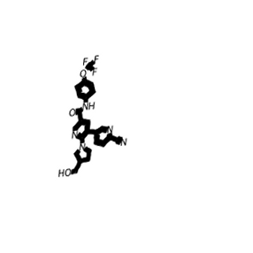 N#Cc1ccc(-c2cc(C(=O)Nc3ccc(OC(F)(F)F)cc3)cnc2N2CCC(CO)C2)cn1